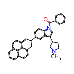 CN1CCC(c2cn(C(=O)c3ccccc3)c3ccc(C4C=c5ccc6cccc7ccc(c5c76)C4)cc23)C1